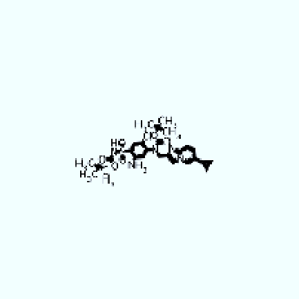 CC(C)(C)OC(=O)NS(=O)(=O)c1cc(Cl)c(N(Cc2cn3cc(C4CC4)ccc3n2)C(=O)OC(C)(C)C)cc1N